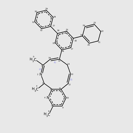 CC1=N/C(C)c2nc(C)ccc2/C=C\C/C(c2cc(C3=CCCC=C3)cc(-c3ccccc3)c2)=C\1